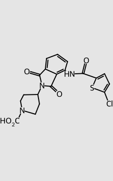 O=C(Nc1cccc2c1C(=O)N(C1CCN(C(=O)O)CC1)C2=O)c1ccc(Cl)s1